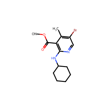 Cc1c(Br)cnc(NC2CCCCC2)c1C(=O)ON=O